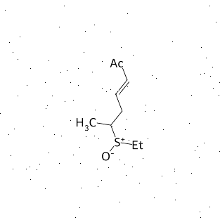 CC[S+]([O-])C(C)CC=CC(C)=O